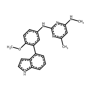 CNc1cc(C)nc(Nc2ccc(OC)c(-c3cccc4[nH]ccc34)c2)n1